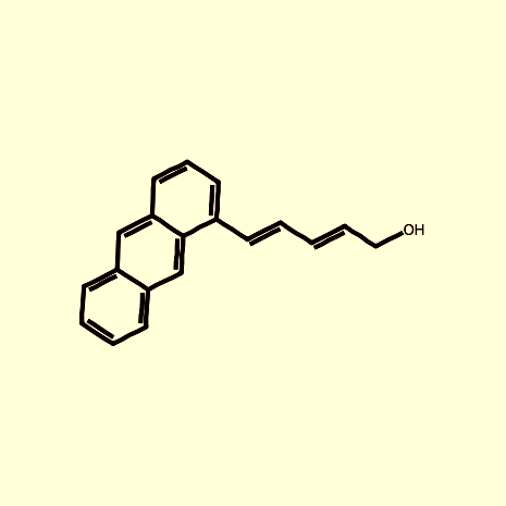 OC/C=C/C=C/c1cccc2cc3ccccc3cc12